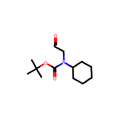 CC(C)(C)OC(=O)N(C[C]=O)C1CCCCC1